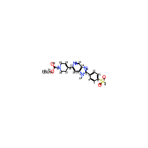 Cn1c(-c2ccc(S(C)(=O)=O)cc2)nc2cnc(C3=CCN(C(=O)OC(C)(C)C)CC3)cc21